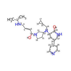 CC(C)NC/C=C/C(=O)N1CC[C@H](N(CC2CC2)c2cc(-c3ccncc3)c[nH]c2=O)C1